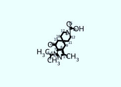 Cc1nn(C(C)C)c2c1CC1(CCN(C(=O)O)CC1)CC2=O